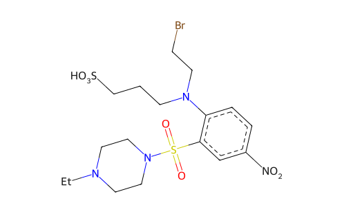 CCN1CCN(S(=O)(=O)c2cc([N+](=O)[O-])ccc2N(CCBr)CCCS(=O)(=O)O)CC1